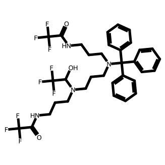 O=C(NCCCN(CCCN(CCCNC(=O)C(F)(F)F)C(c1ccccc1)(c1ccccc1)c1ccccc1)C(O)C(F)(F)F)C(F)(F)F